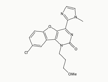 COCCCn1c(=O)nc(-c2nccn2C)c2oc3ccc(Cl)cc3c21